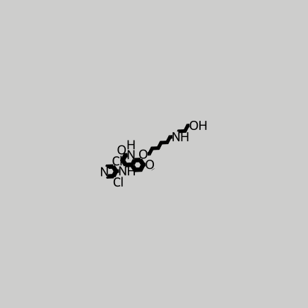 COc1ccc2c(Nc3c(Cl)cncc3Cl)cc(=O)[nH]c2c1OCCCCCCNCCCO